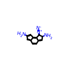 [N-]=[N+]=C1c2c3c(ccc2=CC1N)=CC(N)=C3